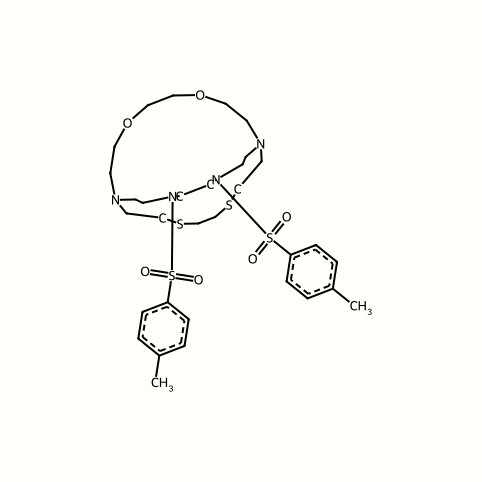 Cc1ccc(S(=O)(=O)N2CCN3CCOCCOCCN(CCSCCSCC3)CCN(S(=O)(=O)c3ccc(C)cc3)CC2)cc1